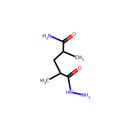 CC(CC(C)C(=O)NN)C(N)=O